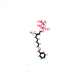 CC(=CCOP(=O)(O)OP(=O)(O)O)CCCCCOCc1ccccc1